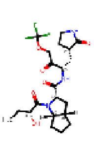 CC[C@@H](O)C(=O)N1[C@H](C(=O)N[C@@H](C[C@@H]2CCNC2=O)C(=O)COC(F)(F)F)C[C@@H]2CCC[C@@H]21